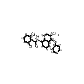 Cc1cnc2c(NC(=O)c3c(Cl)cccc3Cl)cccc2c1Sc1ccncc1